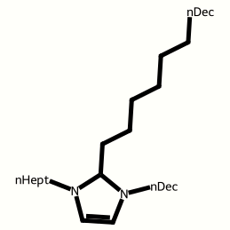 CCCCCCCCCCCCCCCCC1N(CCCCCCC)C=CN1CCCCCCCCCC